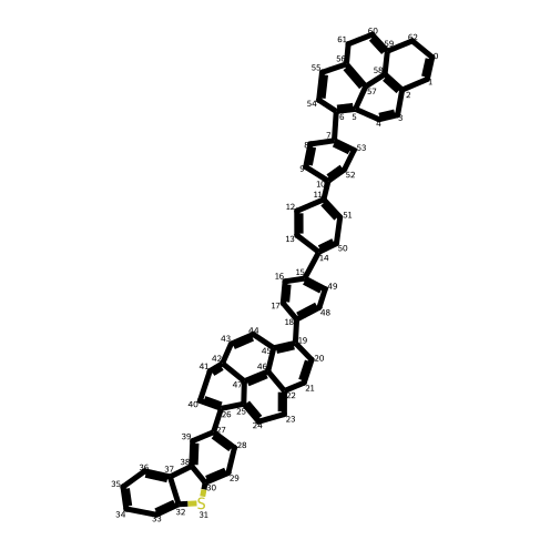 C1=Cc2ccc3c(-c4ccc(-c5ccc(-c6ccc(-c7ccc8ccc9c(-c%10ccc%11sc%12ccccc%12c%11c%10)ccc%10ccc7c8c%109)cc6)cc5)cc4)ccc4c3c2C(=CC4)C1